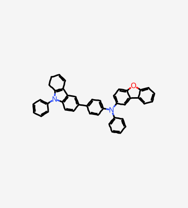 C1=Cc2c(n(-c3ccccc3)c3ccc(-c4ccc(N(c5ccccc5)c5ccc6oc7ccccc7c6c5)cc4)cc23)CC1